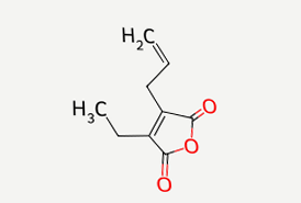 C=CCC1=C(CC)C(=O)OC1=O